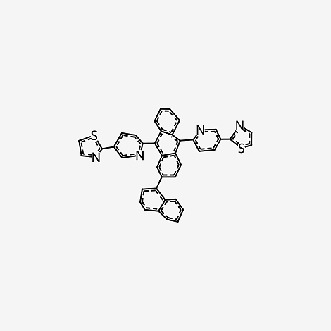 c1ccc2c(-c3ccc4c(-c5ccc(-c6nccs6)cn5)c5ccccc5c(-c5ccc(-c6nccs6)cn5)c4c3)cccc2c1